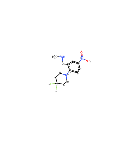 CNCc1cc([N+](=O)[O-])ccc1N1CCC(F)(F)CC1